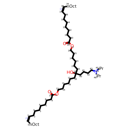 CCCCCCCC/C=C\CCCCCCCC(=O)OCCCCCCC(O)(CCCCCCOC(=O)CCCCCCC/C=C\CCCCCCCC)CCCCN(C(C)C)C(C)C